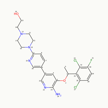 CC(Oc1cc(-c2ccc(N3CCN(CCO)CC3)nc2)cnc1N)c1c(Cl)ccc(F)c1Cl